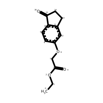 CCOC(=O)COc1ccc2c(c1)CCC2=O